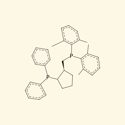 Cc1cccc(C)c1P(C[C@H]1CCCC1P(c1ccccc1)c1ccccc1)c1c(C)cccc1C